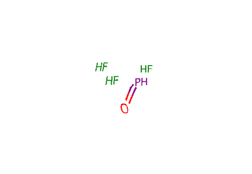 F.F.F.O=P